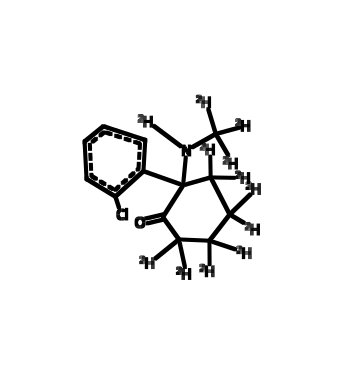 [2H]N(C([2H])([2H])[2H])C1(c2ccccc2Cl)C(=O)C([2H])([2H])C([2H])([2H])C([2H])([2H])C1([2H])[2H]